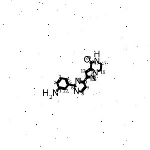 Nc1cccc(-c2nccc(-c3cc4n(n3)CCNC4=O)n2)c1